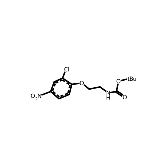 CC(C)(C)OC(=O)NCCOc1ccc([N+](=O)[O-])cc1Cl